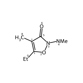 CCc1on(NC)c(=O)c1C